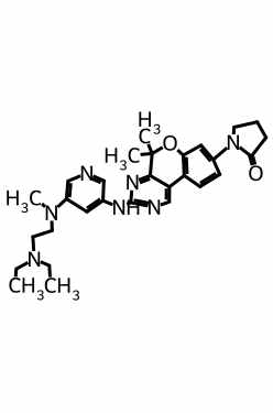 CCN(CC)CCN(C)c1cncc(Nc2ncc3c(n2)C(C)(C)Oc2cc(N4CCCC4=O)ccc2-3)c1